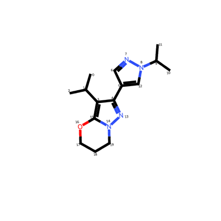 CC(C)c1c(-c2cnn(C(C)C)c2)nn2c1OCCC2